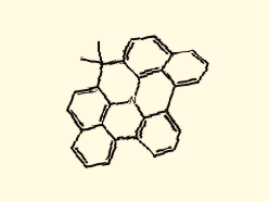 CC1(C)c2ccc3cccc4c3c2N2c3c-4cccc3-c3cccc4ccc1c2c34